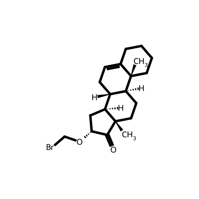 C[C@]12CCCCC1=CC[C@@H]1[C@@H]2CC[C@]2(C)C(=O)[C@H](OCBr)C[C@@H]12